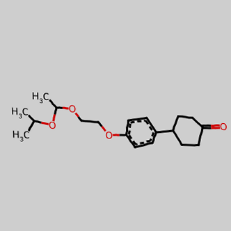 CC(C)OC(C)OCCOc1ccc(C2CCC(=O)CC2)cc1